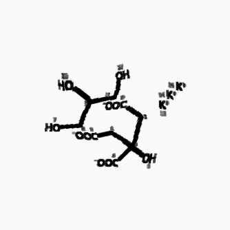 O=C([O-])CC(O)(CC(=O)[O-])C(=O)[O-].OCC(O)CO.[K+].[K+].[K+]